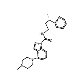 C[C@@H](CCNC(=O)n1cnc2c(N3CCN(C)CC3)cccc21)c1ccccc1